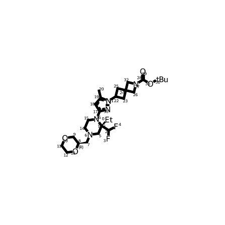 CC[C@@]1(C(F)F)CN(C[C@@H]2COCCO2)CCN1c1cc(C)n(C2CC3(C2)CN(C(=O)OC(C)(C)C)C3)n1